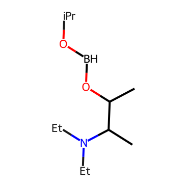 CCN(CC)C(C)C(C)OBOC(C)C